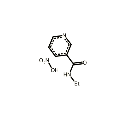 CCNC(=O)c1cccnc1.O=[N+]([O-])O